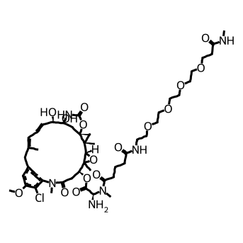 CNC(=O)CCOCCOCCOCCOCCNC(=O)CCCC(=O)N(C)[C@@H](N)C(=O)O[C@H]1CC(=O)N(C)c2cc(cc(OC)c2Cl)C/C(C)=C/C=C/[C@@H](O)[C@@]2(O)C[C@]3(C[C@]3(C)[C@@H]3OC13C)OC(=O)N2